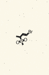 CC(/C=C/Br)S(C)(=O)=O